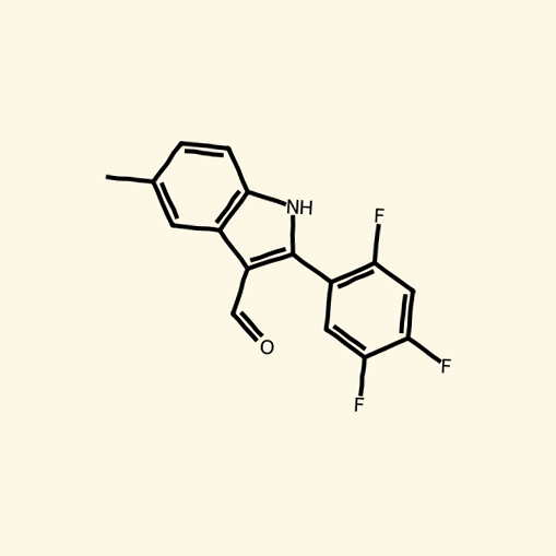 Cc1ccc2[nH]c(-c3cc(F)c(F)cc3F)c(C=O)c2c1